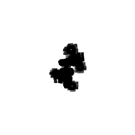 O=C(/C=C/C(=O)OC[C@H](NC(=O)OC1CCCCC1)c1ccccc1)OC[C@H](NC(=O)OC1CCCCC1)c1ccccc1